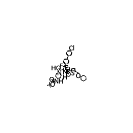 CC(C)(C)OC(=O)NC1CCN(C(O)C(NS(=O)(=O)c2ccc(COC3CCCCC3)s2)C(F)(F)c2ccc(-c3ccc(Cl)cc3)cc2)CC1